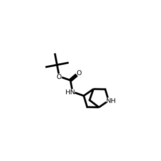 CC(C)(C)OC(=O)NC1CC2CC1CN2